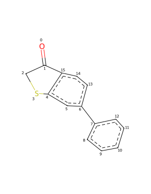 O=C1CSc2cc(-c3ccccc3)ccc21